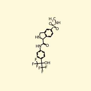 CNS(=O)(=O)c1ccc2c(c1)CNC2C(=O)Nc1ccc(C(O)(C(F)(F)F)C(F)(F)F)cc1